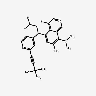 CN(N)c1c(N)nc(N(CC(F)F)c2ccnc(C#CC(C)(C)C#N)c2)c2c(F)cncc12